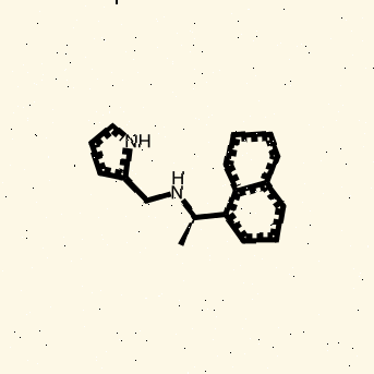 C[C@@H](NCc1ccc[nH]1)c1cccc2ccccc12